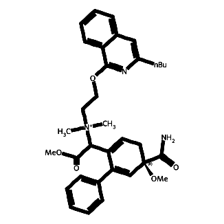 CCCCc1cc2ccccc2c(OCC[N+](C)(C)C(C(=O)OC)C2=CC[C@](OC)(C(N)=O)C=C2c2ccccc2)n1